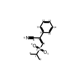 CC(C)S(=O)(=O)C=C(C#N)c1ccccc1